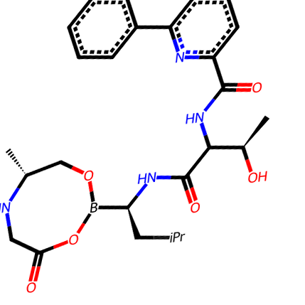 CC(C)C[C@H](NC(=O)C(NC(=O)c1cccc(-c2ccccc2)n1)[C@@H](C)O)B1OC[C@@H](C)NCC(=O)O1